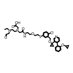 CCN(CC=O)CCN(CC(=O)O)CC(=O)NCCOCCSc1ccc(Cl)c(COC2(c3cnccc3-c3ccccc3OC3CC3)CC2)c1